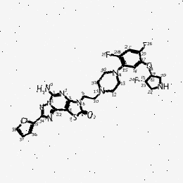 Nc1nc2c(sc(=O)n2CCN2CCN(c3cc(O[C@H]4CNC[C@@H]4F)c(F)cc3F)CC2)c2nc(-c3ccco3)nn12